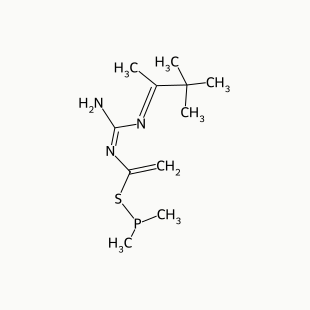 C=C(/N=C(N)\N=C(/C)C(C)(C)C)SP(C)C